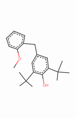 COc1ccccc1Cc1cc(C(C)(C)C)c(O)c(C(C)(C)C)c1